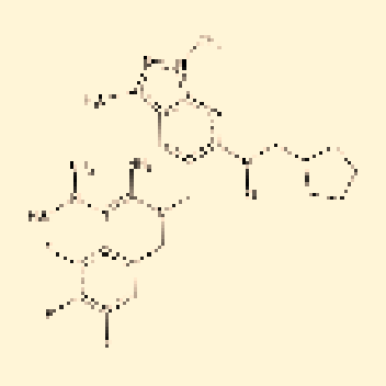 CCN(CC1CCCC1)c1nc2c(cc1CN(Cc1cc(F)c(F)c(F)c1)/C(N)=N/N(C)N)c(C)nn2C